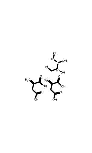 C=C(CC(=O)O)C(=O)O.C=C(CC(=O)O)C(=O)O.OC[C@@H](O)[In]([OH])[InH][OH]